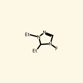 CCC1N(F)C=NN1CC